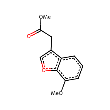 COC(=O)Cc1coc2c(OC)cccc12